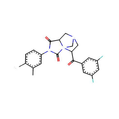 N#Cc1ccc(N2C(=O)C3CN4CC(C(=O)c5cc(F)cc(F)c5)[N+]3(C4)C2=O)cc1C(F)(F)F